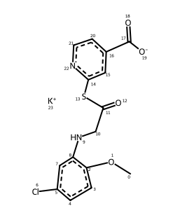 COc1ccc(Cl)cc1NCC(=O)Sc1cc(C(=O)[O-])ccn1.[K+]